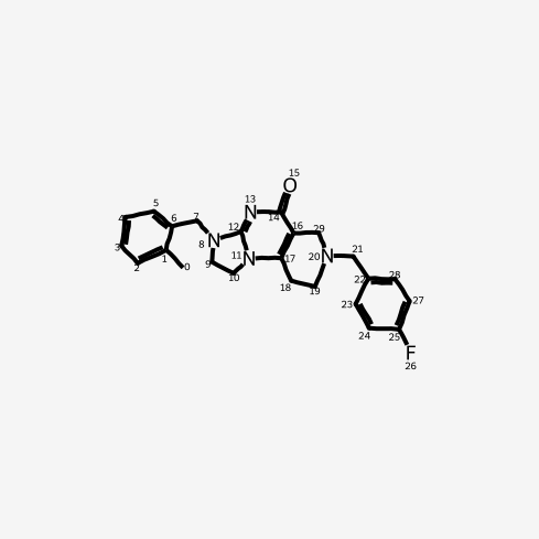 Cc1ccccc1CN1CCn2c1nc(=O)c1c2CCN(Cc2ccc(F)cc2)C1